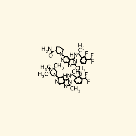 Cc1nc(N[C@H](C)c2cccc(C(F)F)c2F)c2cc(N3CCC[C@H](C(N)=O)C3)ncc2n1.Cc1nc(N[C@H](C)c2cccc(C(F)F)c2F)c2cc(N3C[C@@H](C)N(C)[C@@H](C)C3)ncc2n1